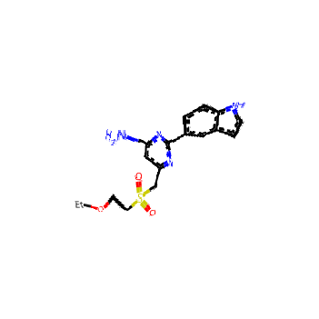 CCOCCS(=O)(=O)Cc1cc(N)nc(-c2ccc3[nH]ccc3c2)n1